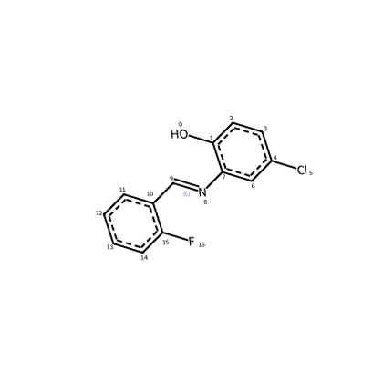 Oc1ccc(Cl)cc1/N=C/c1ccccc1F